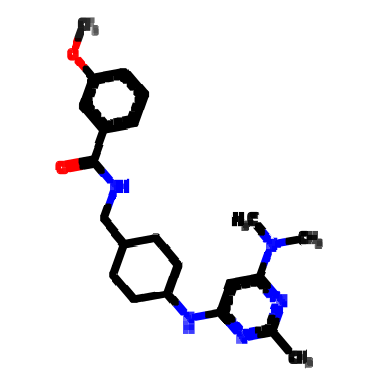 Cc1nc(NC2CCC(CNC(=O)c3cccc(OC(F)(F)F)c3)CC2)cc(N(C)C)n1